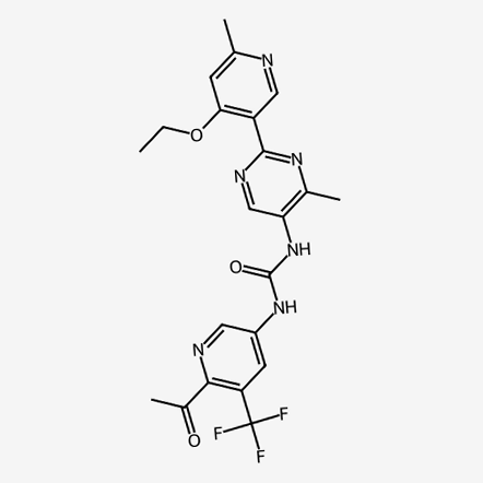 CCOc1cc(C)ncc1-c1ncc(NC(=O)Nc2cnc(C(C)=O)c(C(F)(F)F)c2)c(C)n1